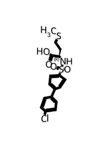 CSCC[C@@H](NS(=O)(=O)c1ccc(-c2ccc(Cl)cc2)cc1)C(=O)O